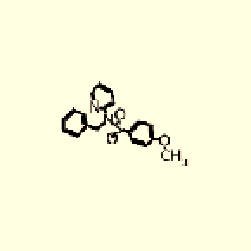 COc1ccc(S(=O)(=O)N(Cc2ccccc2)c2ccccn2)cc1